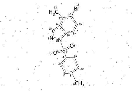 Cc1ccc(S(=O)(=O)n2ncc3c(C)c(Br)ccc32)cc1